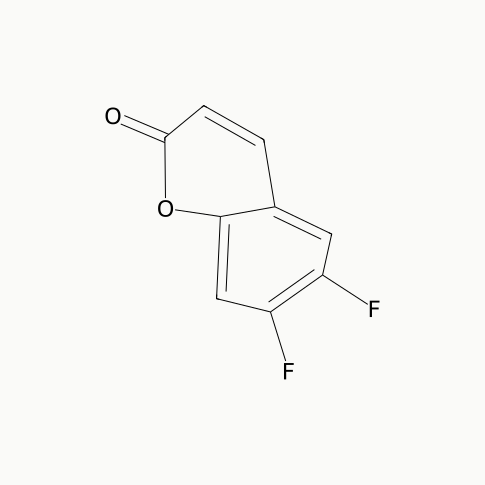 O=c1ccc2cc(F)c(F)cc2o1